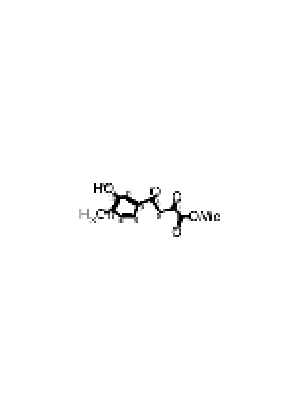 COC(=O)C(=O)CC(=O)c1ccc(C)c(O)c1